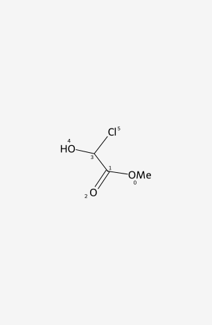 COC(=O)C(O)Cl